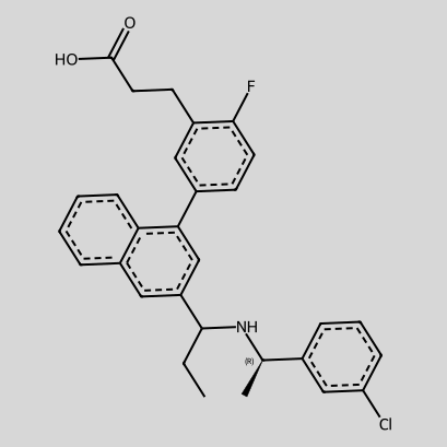 CCC(N[C@H](C)c1cccc(Cl)c1)c1cc(-c2ccc(F)c(CCC(=O)O)c2)c2ccccc2c1